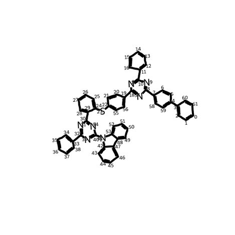 c1ccc(-c2ccc(-c3nc(-c4ccccc4)nc(-c4ccc(Sc5ccccc5-c5nc(-c6ccccc6)nc(-n6c7ccccc7c7ccccc76)n5)cc4)n3)cc2)cc1